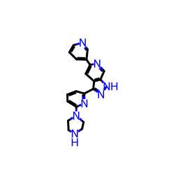 c1cncc(-c2cc3c(-c4cccc(N5CCNCC5)n4)n[nH]c3cn2)c1